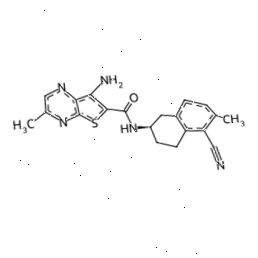 Cc1cnc2c(N)c(C(=O)N[C@@H]3CCc4c(ccc(C)c4C#N)C3)sc2n1